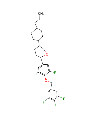 CCCC1CCC(C2CCC(c3cc(F)c(OCc4cc(F)c(F)c(F)c4)c(F)c3)OC2)CC1